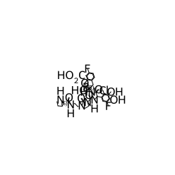 O=C(O)c1c(F)ccc2c1OB(O)[C@@H](NC(=O)C(NC(=O)N1CCN(CCNC(=O)[C@@H]3CCCN3)C1=O)c1cc(F)c(O)c(O)c1Cl)C2